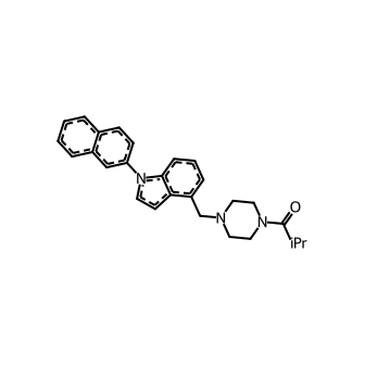 CC(C)C(=O)N1CCN(Cc2cccc3c2ccn3-c2ccc3ccccc3c2)CC1